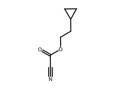 N#CC(=O)OCCC1CC1